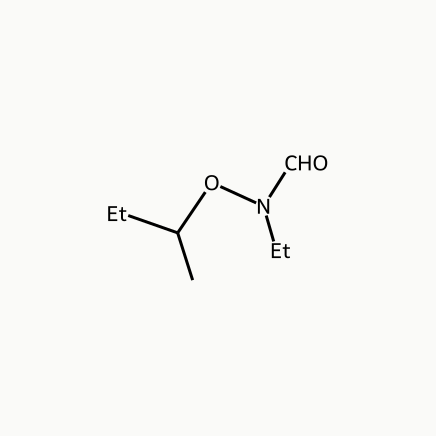 CCC(C)ON(C=O)CC